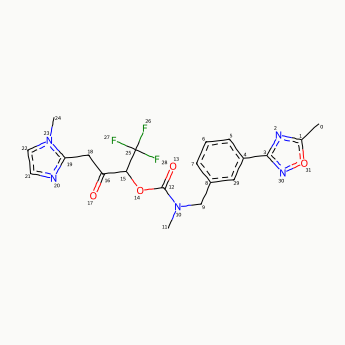 Cc1nc(-c2cccc(CN(C)C(=O)OC(C(=O)Cc3nccn3C)C(F)(F)F)c2)no1